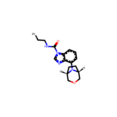 CC(C)CCNC(=O)n1cnc2c(N3[C@@H]4CC[C@H]3COC4)cccc21